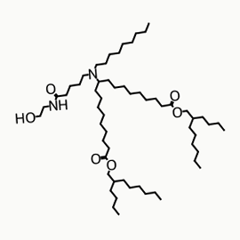 CCCCCCCCCN(CCCCC(=O)NCCO)C(CCCCCCCCC(=O)OCC(CCCC)CCCCCC)CCCCCCCCC(=O)OCC(CCCC)CCCCCC